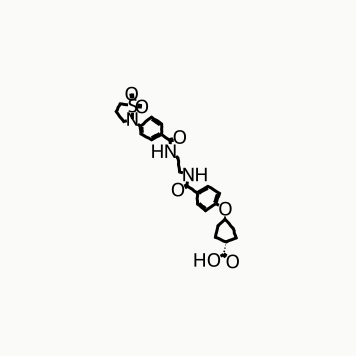 O=C(NCCNC(=O)c1ccc(N2CCCS2(=O)=O)cc1)c1ccc(O[C@H]2CC[C@@H](C(=O)O)CC2)cc1